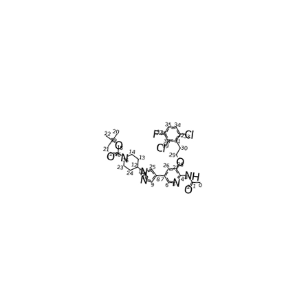 CC(=O)Nc1ncc(-c2cnn(C3CCN(C(=O)OC(C)(C)C)CC3)c2)cc1OCCc1c(Cl)ccc(F)c1Cl